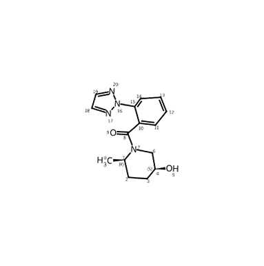 C[C@@H]1CC[C@H](O)CN1C(=O)c1ccccc1-n1nccn1